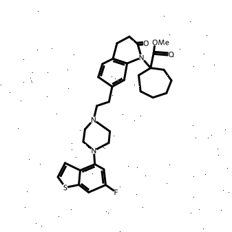 COC(=O)C1(N2C(=O)CCc3ccc(CCN4CCN(c5cc(F)cc6sccc56)CC4)cc32)CCCCCC1